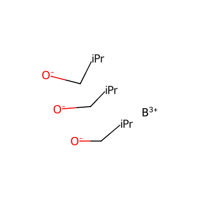 CC(C)C[O-].CC(C)C[O-].CC(C)C[O-].[B+3]